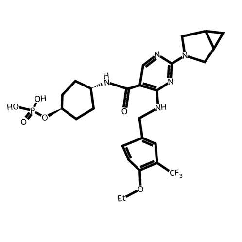 CCOc1ccc(CNc2nc(N3CC4CC4C3)ncc2C(=O)N[C@H]2CC[C@H](OP(=O)(O)O)CC2)cc1C(F)(F)F